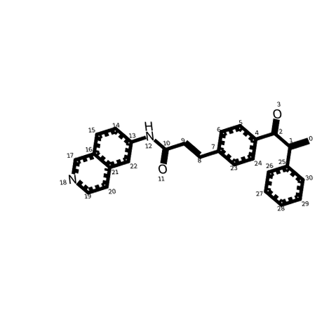 C=C(C(=O)c1ccc(C=CC(=O)Nc2ccc3cnccc3c2)cc1)c1ccccc1